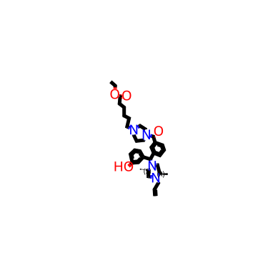 C=CCN1C[C@H](C)N(C(c2cccc(O)c2)c2cccc(C(=O)N3CCCN(CCCCCC(=O)OCC)CC3)c2)C[C@H]1C